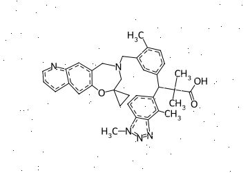 Cc1ccc(C(c2ccc3c(nnn3C)c2C)C(C)(C)C(=O)O)cc1CN1Cc2cc3ncccc3cc2OC2(CC2)C1